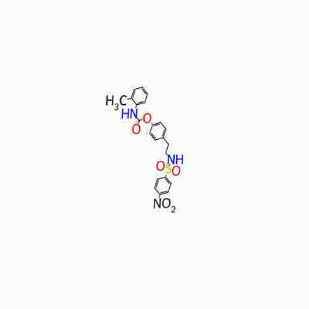 Cc1ccccc1NC(=O)Oc1ccc(CCNS(=O)(=O)c2ccc([N+](=O)[O-])cc2)cc1